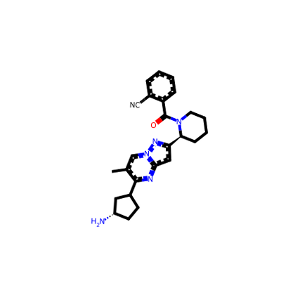 Cc1cn2nc([C@@H]3CCCCN3C(=O)c3ccccc3C#N)cc2nc1C1CC[C@H](N)C1